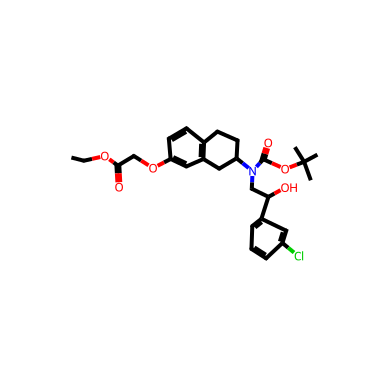 CCOC(=O)COc1ccc2c(c1)CC(N(CC(O)c1cccc(Cl)c1)C(=O)OC(C)(C)C)CC2